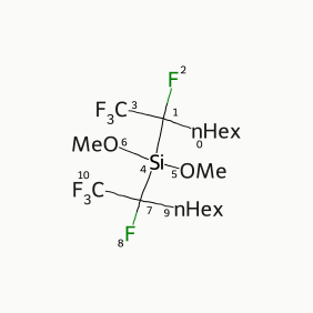 CCCCCCC(F)(C(F)(F)F)[Si](OC)(OC)C(F)(CCCCCC)C(F)(F)F